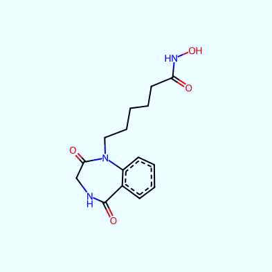 O=C(CCCCCN1C(=O)CNC(=O)c2ccccc21)NO